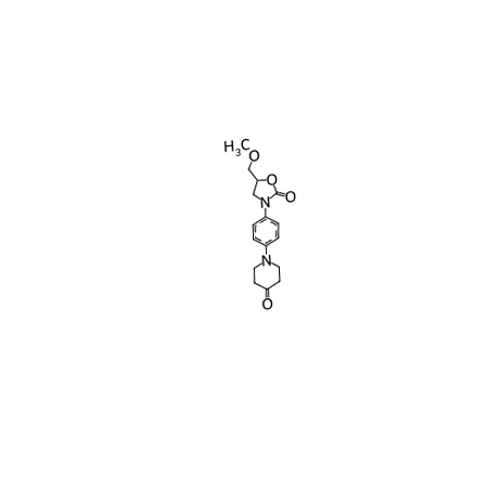 COCC1CN(c2ccc(N3CCC(=O)CC3)cc2)C(=O)O1